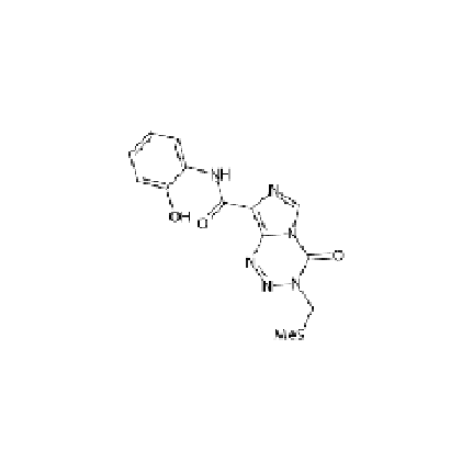 CSCn1nnc2c(C(=O)Nc3ccccc3O)ncn2c1=O